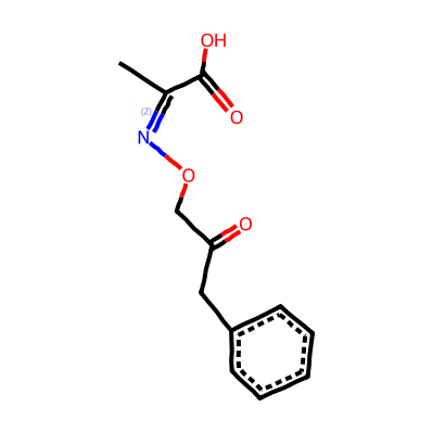 C/C(=N/OCC(=O)Cc1ccccc1)C(=O)O